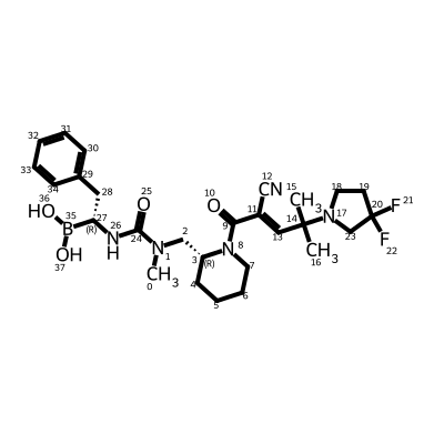 CN(C[C@H]1CCCCN1C(=O)C(C#N)=CC(C)(C)N1CCC(F)(F)C1)C(=O)N[C@@H](Cc1ccccc1)B(O)O